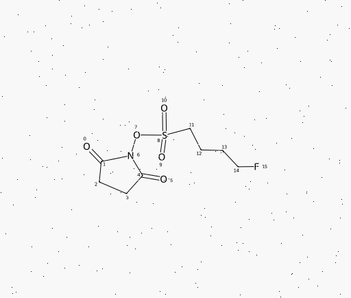 O=C1CCC(=O)N1OS(=O)(=O)CCCCF